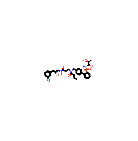 CCCC(=O)N(CCC(=O)NC[C@@H](S)Cc1cccc(Cl)c1)Cc1ccc(-c2ccccc2S(=O)(=O)NC(=O)[C@H](C)O)cc1